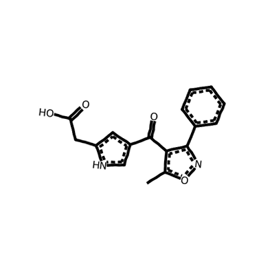 Cc1onc(-c2ccccc2)c1C(=O)c1c[nH]c(CC(=O)O)c1